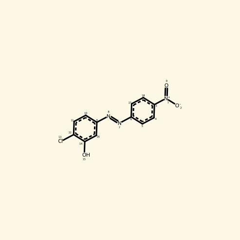 O=[N+]([O-])c1ccc(N=Nc2ccc(Cl)c(O)c2)cc1